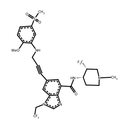 COc1ccc(S(C)(=O)=O)cc1NCC#Cc1cc(C(=O)N[C@H]2CCN(C)C[C@H]2C(F)(F)F)c2ncn(CC(F)(F)F)c2c1